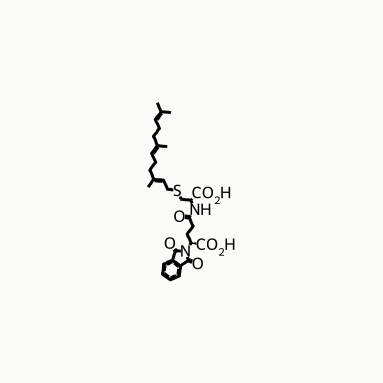 CC(C)=CCC/C(C)=C/CC/C(C)=C/CSC[C@H](NC(=O)CC[C@@H](C(=O)O)N1C(=O)c2ccccc2C1=O)C(=O)O